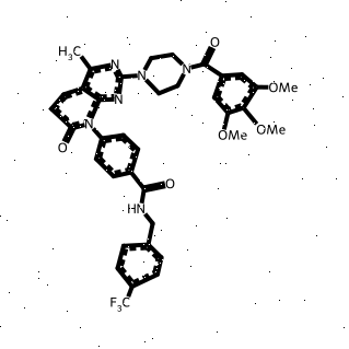 COc1cc(C(=O)N2CCN(c3nc(C)c4ccc(=O)n(-c5ccc(C(=O)NCc6ccc(C(F)(F)F)cc6)cc5)c4n3)CC2)cc(OC)c1OC